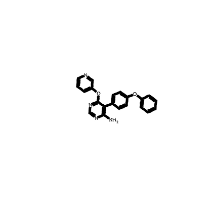 Nc1ncnc(Oc2cccnc2)c1-c1ccc(Oc2ccccc2)cc1